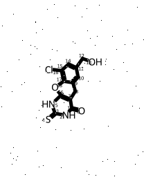 O=c1[nH]c(=S)[nH]c2c1Cc1cc(CO)cc(Cl)c1O2